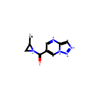 N#CC1CN1C(=O)c1cnc2cnnn2c1